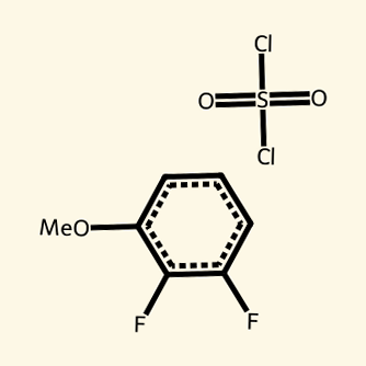 COc1cccc(F)c1F.O=S(=O)(Cl)Cl